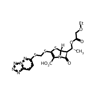 CCOCC(=O)O[C@H](C)[C@H]1C(=O)N2C(C(=O)O)=C(SCSc3ccc4nnnn4n3)S[C@H]12